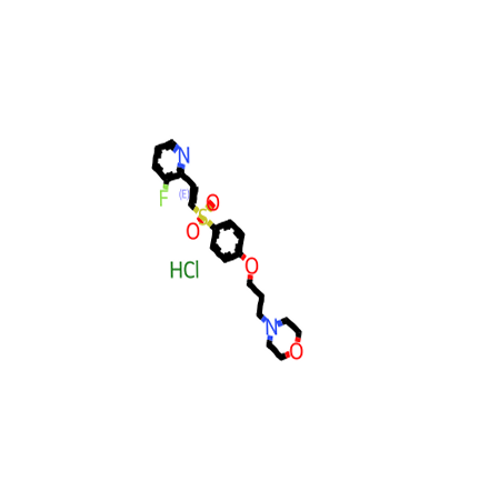 Cl.O=S(=O)(/C=C/c1ncccc1F)c1ccc(OCCCN2CCOCC2)cc1